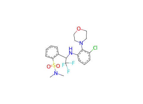 CN(C)S(=O)(=O)c1ccccc1C(Nc1cccc(Cl)c1N1CCOCC1)C(F)(F)F